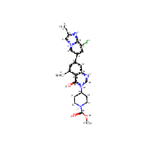 COc1cc(-c2cc(F)c3nc(C)cn3c2)cc2ncn(C3CCN(C(=O)OC(C)(C)C)CC3)c(=O)c12